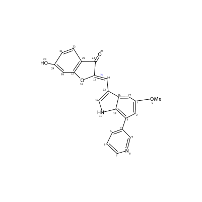 COc1cc(-c2cccnc2)c2[nH]cc(/C=C3\Oc4cc(O)ccc4C3=O)c2c1